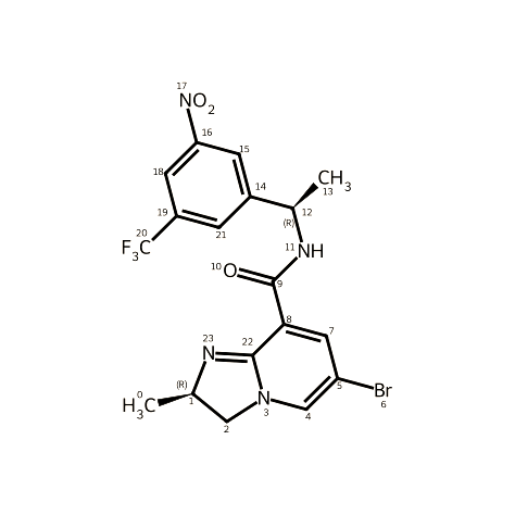 C[C@@H]1CN2C=C(Br)C=C(C(=O)N[C@H](C)c3cc([N+](=O)[O-])cc(C(F)(F)F)c3)C2=N1